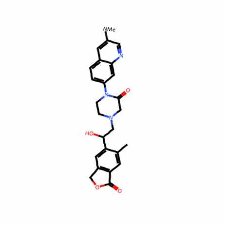 CNc1cnc2cc(N3CCN(CC(O)c4cc5c(cc4C)C(=O)OC5)CC3=O)ccc2c1